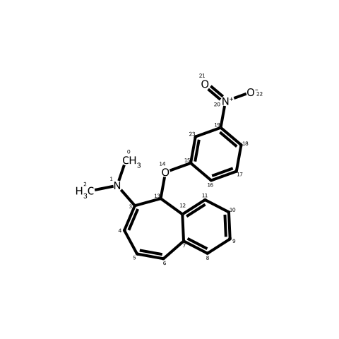 CN(C)C1=CC=Cc2ccccc2C1Oc1cccc([N+](=O)[O-])c1